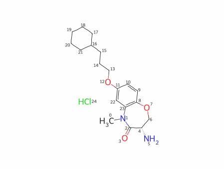 CN1C(=O)[C@@H](N)COc2ccc(OCCCC3CCCCC3)cc21.Cl